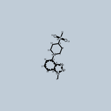 Cn1nnc2c(N3CCC(S(C)(=O)=O)CC3)cccc21